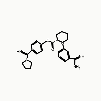 N=C(N)c1cccc(N2CCCC[C@H]2C(=O)Oc2ccc(C(=N)N3CCCC3)cc2)c1